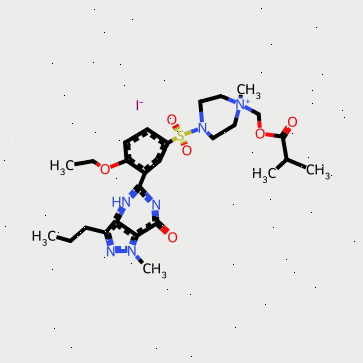 CCCc1nn(C)c2c(=O)nc(-c3cc(S(=O)(=O)N4CC[N+](C)(COC(=O)C(C)C)CC4)ccc3OCC)[nH]c12.[I-]